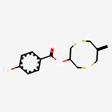 C=C1CSCC(OC(=O)c2ccc(Br)cc2)CSC1